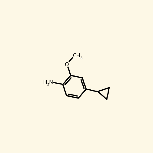 COc1cc(C2CC2)ccc1N